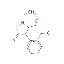 CCc1ccccc1N1C(=N)SN(CC)C1C=O